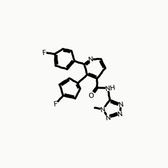 Cn1nnnc1NC(=O)c1ccnc(-c2ccc(F)cc2)c1-c1ccc(F)cc1